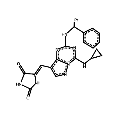 CC(C)C(Nc1nc(NC2CC2)n2ncc(/C=C3\NC(=O)NC3=O)c2n1)c1ccccc1